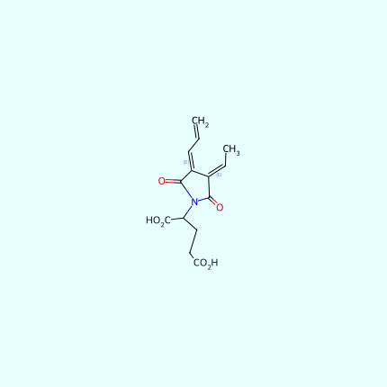 C=C/C=C1/C(=O)N(C(CCC(=O)O)C(=O)O)C(=O)/C1=C/C